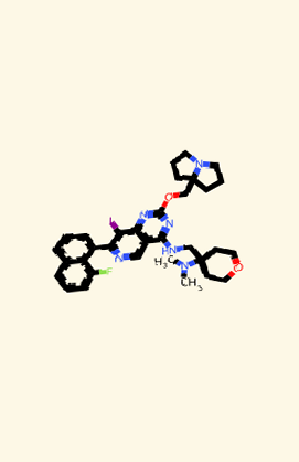 CN(C)C1(CNc2nc(OCC34CCCN3CCC4)nc3c(I)c(-c4cccc5cccc(F)c45)ncc23)CCOCC1